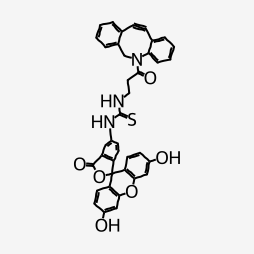 O=C1OC2(c3ccc(O)cc3Oc3cc(O)ccc32)c2ccc(NC(=S)NCCC(=O)N3Cc4ccccc4C#Cc4ccccc43)cc21